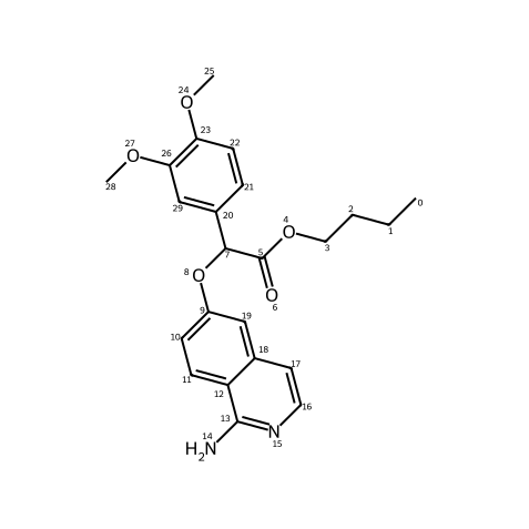 CCCCOC(=O)C(Oc1ccc2c(N)nccc2c1)c1ccc(OC)c(OC)c1